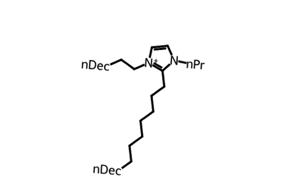 CCCCCCCCCCCCCCCCCc1n(CCC)cc[n+]1CCCCCCCCCCCC